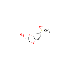 C[S+]([O-])c1ccc2c(c1)OC(CO)CO2